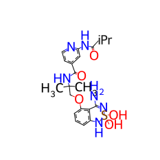 CC(C)C(=O)Nc1cc(C(=O)NC(C)(C)COc2cccc3c2C(N)=NS(O)(O)N3)ccn1